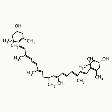 CC1=C(/C=C/C(C)=C/C=C/C(C)=C/CC(C)/C=C(C)/C=C/C=C(C)/C=C/C2=C(C)C[C@@H](O)CC2(C)C)C(C)(C)C[C@H](O)C1